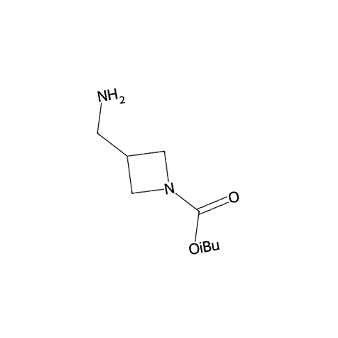 CC(C)COC(=O)N1CC(CN)C1